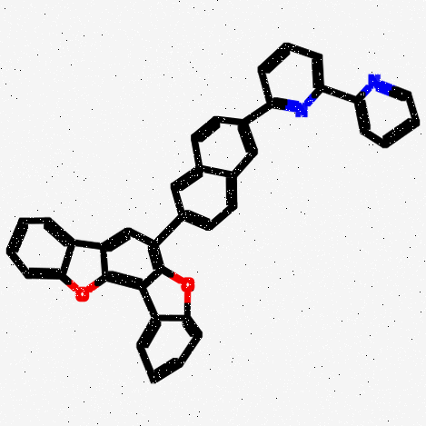 c1ccc(-c2cccc(-c3ccc4cc(-c5cc6c7ccccc7oc6c6c5oc5ccccc56)ccc4c3)n2)nc1